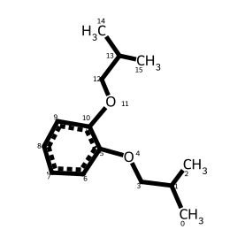 CC(C)COc1c[c][c]cc1OCC(C)C